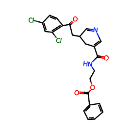 O=C(NCCOC(=O)c1ccccc1)C1=CN=CC(CC(=O)c2ccc(Cl)cc2Cl)C1